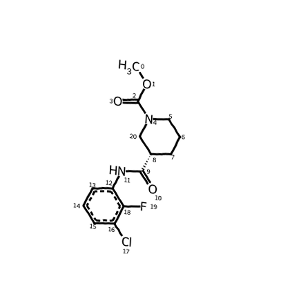 COC(=O)N1CCC[C@H](C(=O)Nc2cccc(Cl)c2F)C1